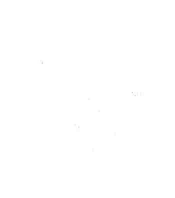 CC=N.CCCC(=O)c1ccccc1OOC(C)(CC)CC